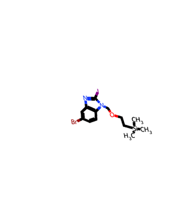 C[Si](C)(C)CCOCn1c(I)nc2cc(Br)ccc21